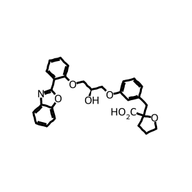 O=C(O)C1(Cc2cccc(OC[C@@H](O)COc3ccccc3-c3nc4ccccc4o3)c2)CCCO1